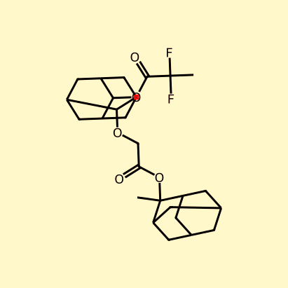 CC(F)(F)C(=O)OC1C2CC3CC1CC(C2)C3OCC(=O)OC1(C)C2CC3CC(C2)CC1C3